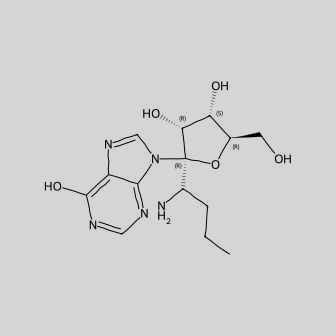 CCCC(N)[C@@]1(n2cnc3c(O)ncnc32)O[C@H](CO)[C@@H](O)[C@H]1O